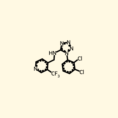 FC(F)(F)c1cnccc1CNc1nnnn1-c1cccc(Cl)c1Cl